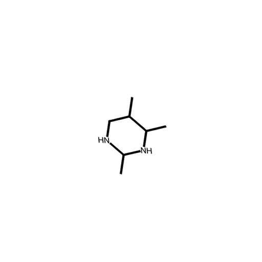 CC1NCC(C)C(C)N1